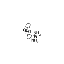 Cc1ccc(S(=O)(=O)Oc2ccc(N)c(C(N)=O)c2)cc1